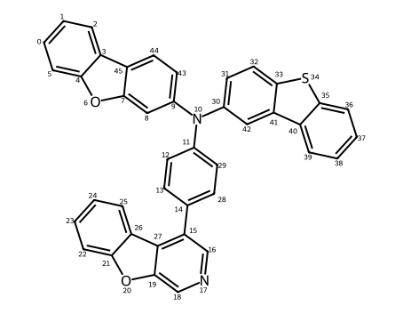 c1ccc2c(c1)oc1cc(N(c3ccc(-c4cncc5oc6ccccc6c45)cc3)c3ccc4sc5ccccc5c4c3)ccc12